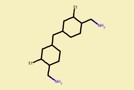 CCC1CC(CC2CCC(CN)C(CC)C2)CCC1CN